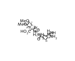 COc1ccc(C(C(=O)O)C(Br)NC(=O)CNC(=O)c2cccc(NC(=N)N)c2)cc1OC